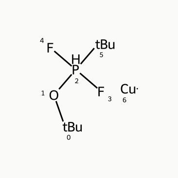 CC(C)(C)O[PH](F)(F)C(C)(C)C.[Cu]